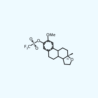 COc1cc2c(cc1OS(=O)(=O)C(F)(F)F)CCC1C2CC[C@]2(C)OCCC12